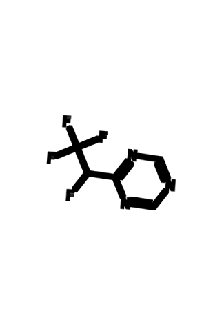 FC(c1ncncn1)C(F)(F)F